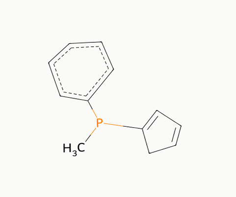 CP(C1=CC=CC1)c1ccccc1